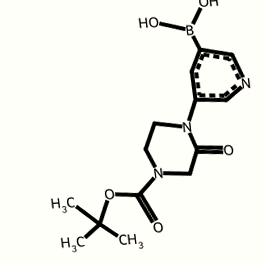 CC(C)(C)OC(=O)N1CCN(c2cncc(B(O)O)c2)C(=O)C1